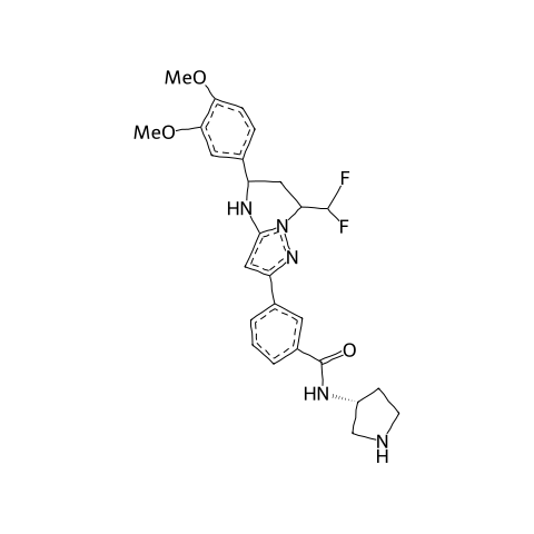 COc1ccc(C2CC(C(F)F)n3nc(-c4cccc(C(=O)N[C@@H]5CCNC5)c4)cc3N2)cc1OC